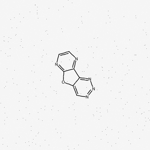 c1cnc2c(n1)oc1cnnnc12